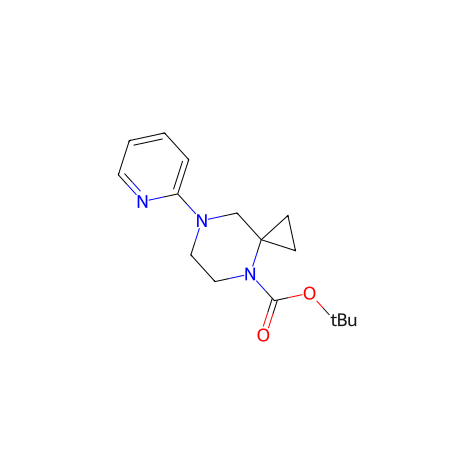 CC(C)(C)OC(=O)N1CCN(c2ccccn2)CC12CC2